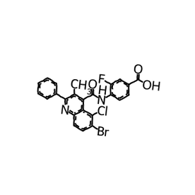 Cc1c(-c2ccccc2)nc2ccc(Br)c(Cl)c2c1C(=O)Nc1ccc(C(=O)O)cc1F